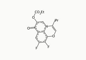 CCOC(=O)Oc1cn2c3c(c(F)c(F)cc3c1=O)OC=C2C(C)C